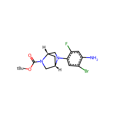 CC(C)(C)OC(=O)N1C[C@@H]2C[C@H]1CN2c1cc(Br)c(N)cc1F